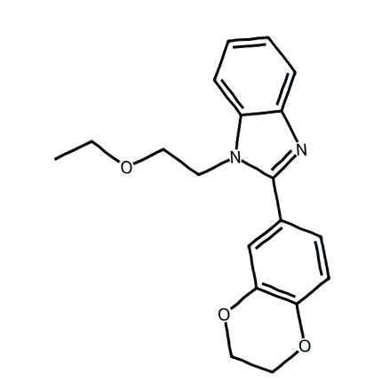 CCOCCn1c(-c2ccc3c(c2)OCCO3)nc2ccccc21